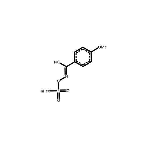 CCCCCCS(=O)(=O)ON=C(C#N)c1ccc(OC)cc1